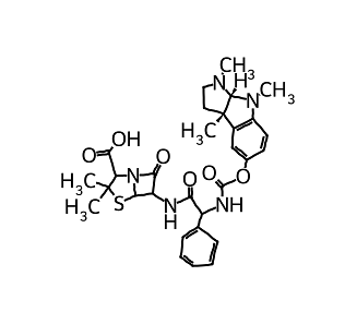 CN1CC[C@@]2(C)c3cc(OC(=O)NC(C(=O)NC4C(=O)N5C4SC(C)(C)C5C(=O)O)c4ccccc4)ccc3N(C)[C@@H]12